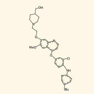 COc1cc2c(Oc3ccc(Nc4ccc(C(C)(C)C)cc4)c(Cl)c3)ccnc2cc1OCCN1CCC(CO)CC1